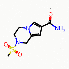 CS(=O)(=O)N1CCn2cc(C(N)=O)cc2C1